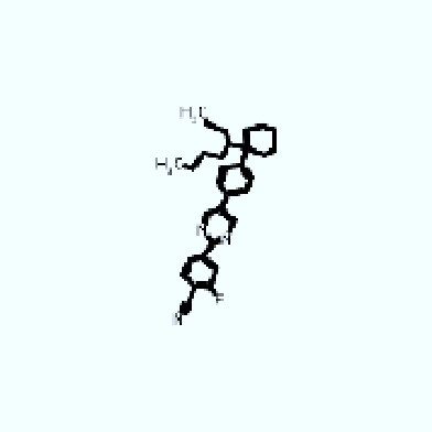 CCCCC(CCC)C1(c2ccc(-c3cnc(-c4ccc(C#N)c(F)c4)nc3)cc2)CCCCC1